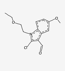 CCOCCn1c(Cl)c(C=O)c2cc(OC)ccc21